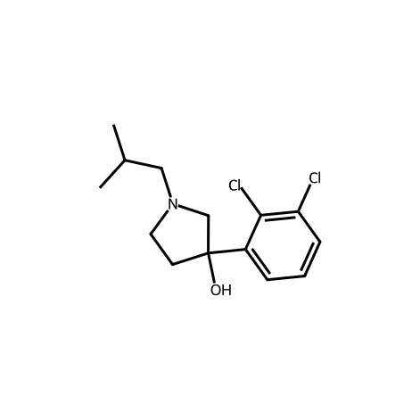 CC(C)CN1CCC(O)(c2cccc(Cl)c2Cl)C1